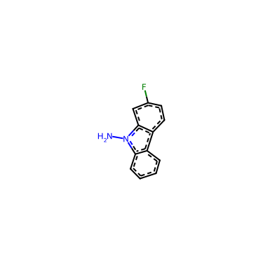 Nn1c2ccccc2c2ccc(F)cc21